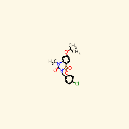 CC(C)Oc1ccc2c(c1)N(C)C(=O)N(Cc1ccc(Cl)cc1)S2(=O)=O